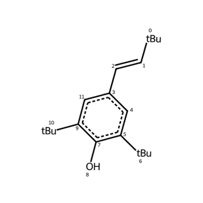 CC(C)(C)/C=C/c1cc(C(C)(C)C)c(O)c(C(C)(C)C)c1